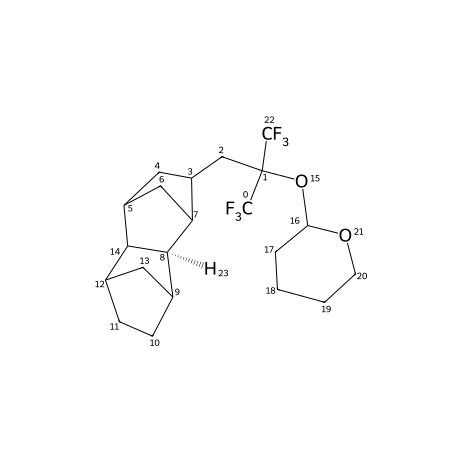 FC(F)(F)C(CC1CC2CC1[C@H]1C3CCC(C3)C21)(OC1CCCCO1)C(F)(F)F